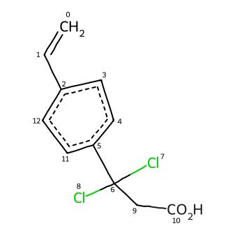 C=Cc1ccc(C(Cl)(Cl)CC(=O)O)cc1